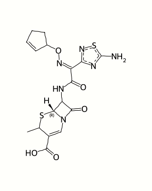 CC1S[C@@H]2C(NC(=O)C(=NOC3C=CCC3)c3nsc(N)n3)C(=O)N2C=C1C(=O)O